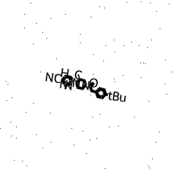 C[C@H]1CN(C(=O)Cc2ccc(C(C)(C)C)cc2)CCN1c1ccc(C#N)nn1